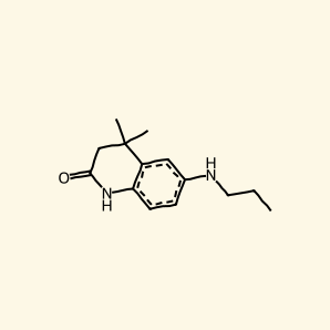 CCCNc1ccc2c(c1)C(C)(C)CC(=O)N2